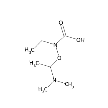 CCN(OC(C)N(C)C)C(=O)O